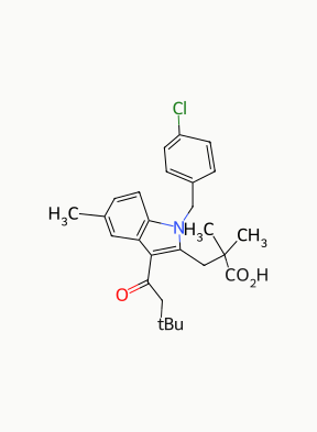 Cc1ccc2c(c1)c(C(=O)CC(C)(C)C)c(CC(C)(C)C(=O)O)n2Cc1ccc(Cl)cc1